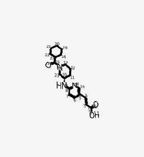 O=C(O)C=Cc1ccc(N[C@@H]2CCCN(C(=O)C3CCCCC3)C2)nc1